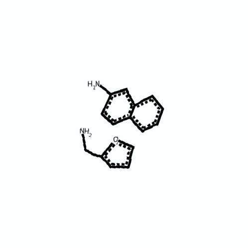 NCc1ccco1.Nc1ccc2ccccc2c1